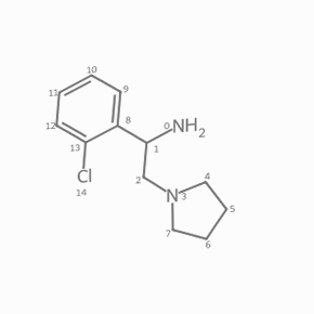 NC(CN1CCCC1)c1ccccc1Cl